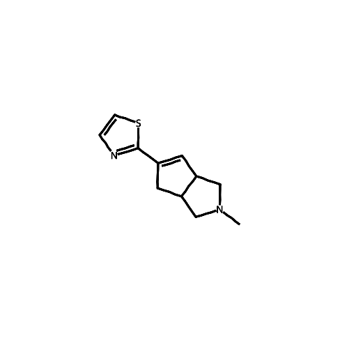 CN1CC2C=C(c3nccs3)CC2C1